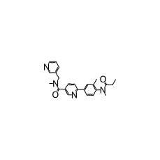 CCC(=O)N(C)c1ccc(-c2ccc(C(=O)N(C)Cc3cccnc3)cn2)cc1C